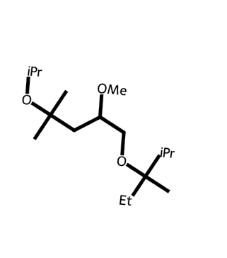 CCC(C)(OCC(CC(C)(C)OC(C)C)OC)C(C)C